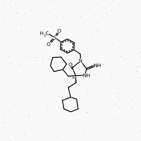 CS(=O)(=O)c1ccc(CN2C(=N)N[C@](CCC3CCCCC3)(CC3CCCCC3)C2=O)cc1